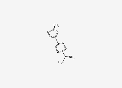 CC(N)c1ccc(-c2cnn(C)c2)cc1